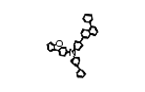 c1ccc(-c2ccc(N(c3ccc(-c4ccc5c(-c6ccccc6)cccc5c4)cc3)c3ccc4c(c3)oc3ccccc34)cc2)cc1